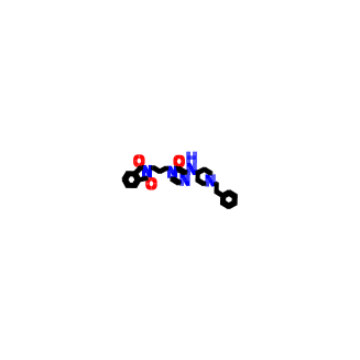 O=C1c2ccccc2C(=O)N1CCCn1ccnc(NC2CCN(CCc3ccccc3)CC2)c1=O